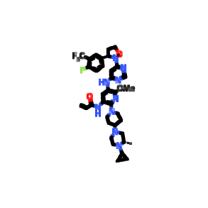 C=CC(=O)Nc1cc(Nc2cc(N3OCC[C@@H]3c3ccc(F)c(C(F)(F)F)c3)ncn2)c(OC)nc1N1CCC(N2CCN(C3CC3)[C@@H](C)C2)CC1